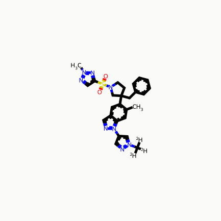 [2H]C([2H])([2H])n1cc(-n2ncc3cc(C4(Cc5ccccc5)CCN(S(=O)(=O)c5cnn(C)n5)C4)c(C)cc32)cn1